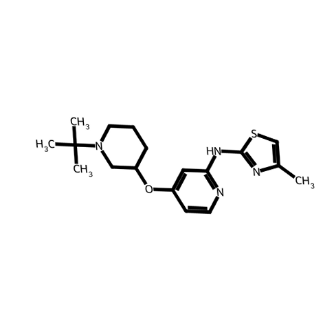 Cc1csc(Nc2cc(OC3CCCN(C(C)(C)C)C3)ccn2)n1